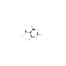 O=C(F)c1c(Cl)nc(Cl)nc1Cl